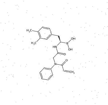 C=CC(=O)N(CC(=O)N[C@@H](Cc1ccc(C)c(C)c1)B(O)O)c1ccccc1